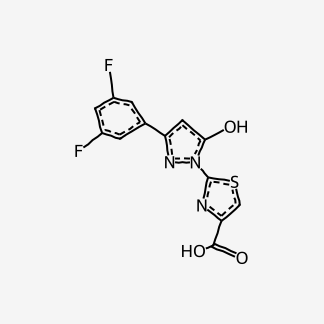 O=C(O)c1csc(-n2nc(-c3cc(F)cc(F)c3)cc2O)n1